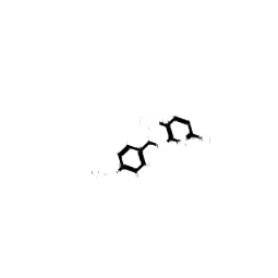 COc1ccc(COc2nc(Cl)ccc2C(F)(F)F)cc1